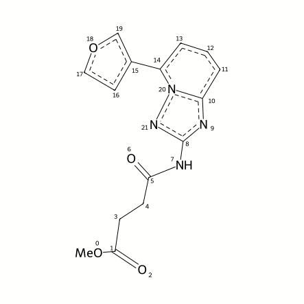 COC(=O)CCC(=O)Nc1nc2cccc(-c3ccoc3)n2n1